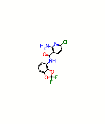 Nc1nc(Cl)ccc1C(=O)Nc1cccc2c1OC(F)(F)O2